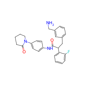 NCc1cccc(CC(C(=O)Nc2ccc(N3CCCCC3=O)cc2)c2ccccc2F)c1